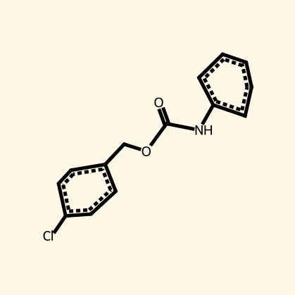 O=C(Nc1ccccc1)OCc1ccc(Cl)cc1